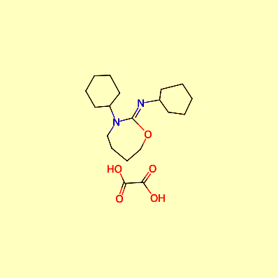 C1CCC(/N=C2\OCCCCN2C2CCCCC2)CC1.O=C(O)C(=O)O